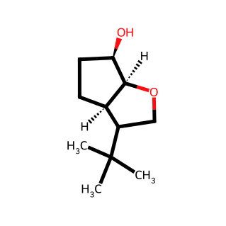 CC(C)(C)C1CO[C@@H]2[C@H](O)CC[C@H]12